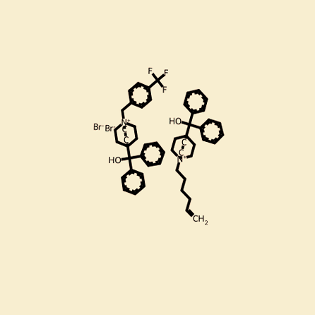 C=CCCCC[N+]12CCC(C(O)(c3ccccc3)c3ccccc3)(CC1)CC2.OC(c1ccccc1)(c1ccccc1)C12CC[N+](Cc3ccc(C(F)(F)F)cc3)(CC1)CC2.[Br-].[Br-]